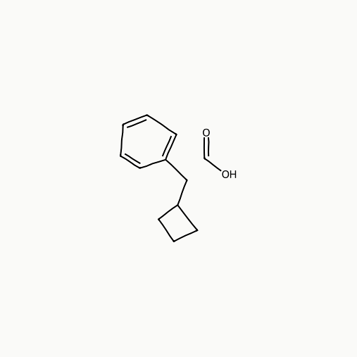 O=CO.c1ccc(CC2CCC2)cc1